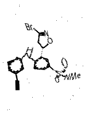 C#Cc1cccc(Nc2ccc(S(=O)(=O)NC)cc2[C@@H]2CC(Br)=NO2)c1